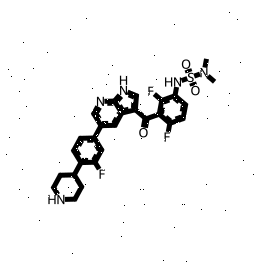 CN(C)S(=O)(=O)Nc1ccc(F)c(C(=O)c2c[nH]c3ncc(-c4ccc(C5CCNCC5)c(F)c4)cc23)c1F